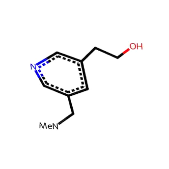 CNCc1cncc(CCO)c1